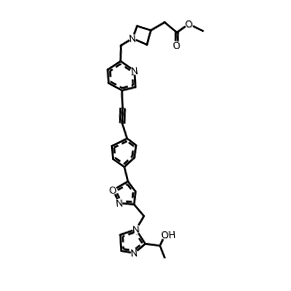 COC(=O)CC1CN(Cc2ccc(C#Cc3ccc(-c4cc(Cn5ccnc5C(C)O)no4)cc3)cn2)C1